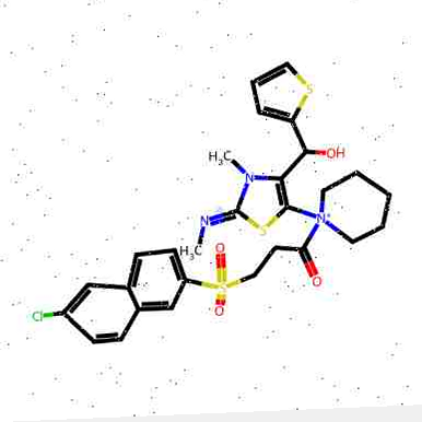 C/N=c1\sc([N+]2(C(=O)CCS(=O)(=O)c3ccc4cc(Cl)ccc4c3)CCCCC2)c(C(O)c2cccs2)n1C